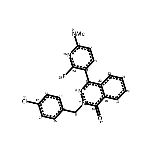 CNc1ccc(-c2nn(Cc3ccc(Cl)cc3)c(=O)c3ccccc23)c(F)n1